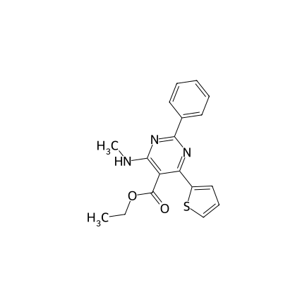 CCOC(=O)c1c(NC)nc(-c2ccccc2)nc1-c1cccs1